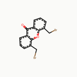 O=c1c2cccc(CBr)c2oc2c(CBr)cccc12